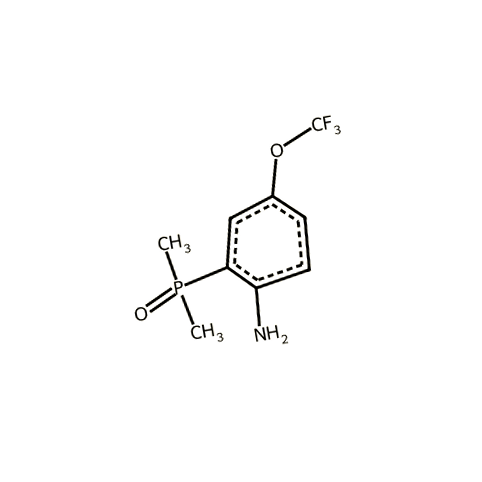 CP(C)(=O)c1cc(OC(F)(F)F)ccc1N